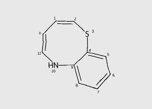 c1ccsc2ccccc2[nH]c1